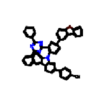 N#Cc1ccc(-c2ccc3c4ccccc4n(-c4ccc(-c5ccc6sc7ccccc7c6c5)cc4-c4nc(-c5ccccc5)nc(-c5ccccc5)n4)c3c2)cc1